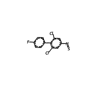 Fc1ccc(-c2c(Cl)cc(N=S)cc2Cl)cc1